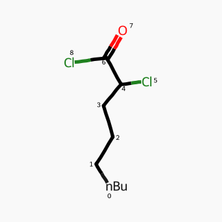 CCCCCCCC(Cl)C(=O)Cl